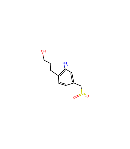 Nc1cc(C[SH](=O)=O)ccc1CCCO